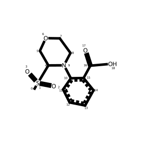 CS(=O)(=O)C1COCCN1c1ccccc1C(=O)O